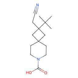 CC(C)(C)C1(CC#N)CC2(CCN(C(=O)O)CC2)C1